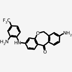 Nc1ccc2c(c1)COc1cc(Nc3ccc(C(F)(F)F)cc3N)ccc1C2=O